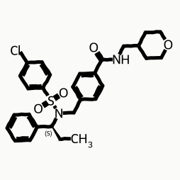 CC[C@@H](c1ccccc1)N(Cc1ccc(C(=O)NCC2CCOCC2)cc1)S(=O)(=O)c1ccc(Cl)cc1